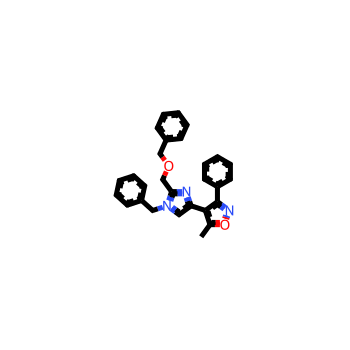 Cc1onc(-c2ccccc2)c1-c1cn(Cc2ccccc2)c(COCc2ccccc2)n1